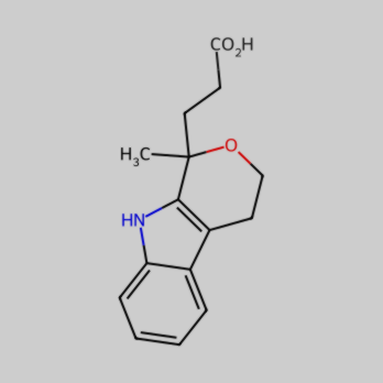 CC1(CCC(=O)O)OCCc2c1[nH]c1ccccc21